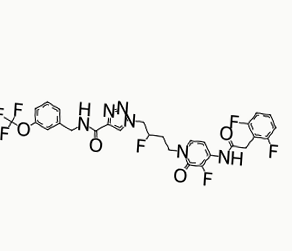 O=C(Cc1c(F)cccc1F)Nc1ccn(CCC(F)Cn2cc(C(=O)NCc3cccc(OC(F)(F)F)c3)nn2)c(=O)c1F